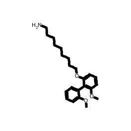 COc1ccccc1-c1c(OC)cccc1OCCCCCCCCCN